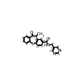 CN1C(=O)c2ccccc2Sc2ccc(C(=O)NCc3cncnc3)cc21